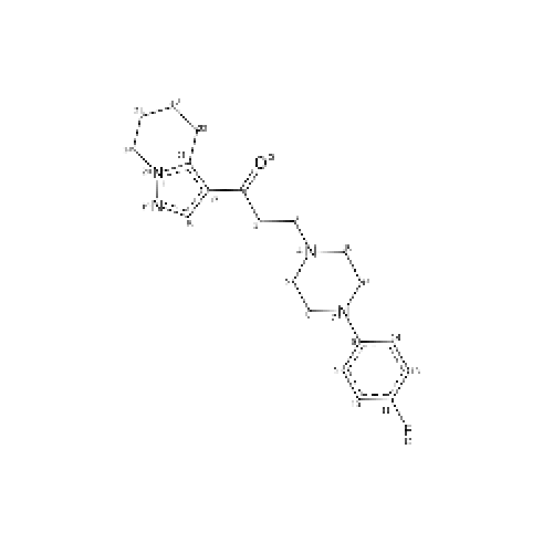 O=C(CCN1CCN(c2ccc(F)cc2)CC1)c1cnn2c1CCCC2